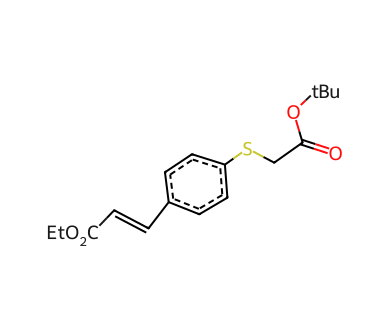 CCOC(=O)C=Cc1ccc(SCC(=O)OC(C)(C)C)cc1